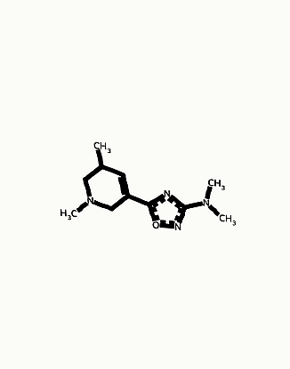 CC1C=C(c2nc(N(C)C)no2)CN(C)C1